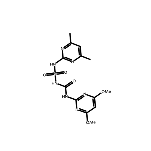 COc1cc(OC)nc(NC(=O)NS(=O)(=O)Nc2nc(C)cc(C)n2)n1